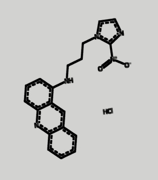 Cl.O=[N+]([O-])c1nccn1CCCNc1cccc2nc3ccccc3cc12